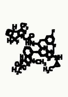 CC1CC1Nc1nc2nc([C@H](Cc3cc(F)cc(F)c3)NC(=O)Cn3nc(C(F)(F)F)c4c3C(F)(F)[C@@H]3C#C[C@H]43)c(-c3cccc4c(NS(C)(=O)=O)nn(C)c34)cc2s1